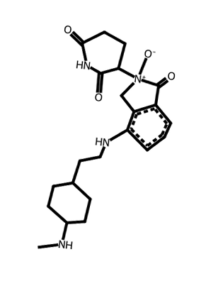 CNC1CCC(CCNc2cccc3c2C[N+]([O-])(C2CCC(=O)NC2=O)C3=O)CC1